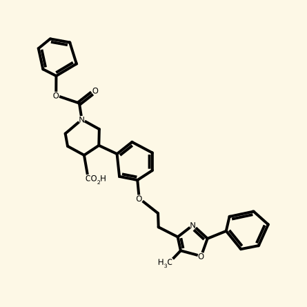 Cc1oc(-c2ccccc2)nc1CCOc1cccc(C2CN(C(=O)Oc3ccccc3)CCC2C(=O)O)c1